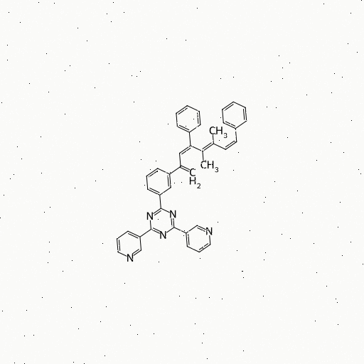 C=C(\C=C(/C(C)=C(C)/C=C\c1ccccc1)c1ccccc1)c1cccc(-c2nc(-c3cccnc3)nc(-c3cccnc3)n2)c1